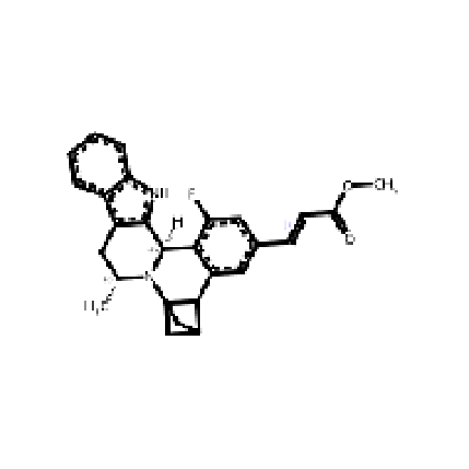 COC(=O)/C=C/c1cc(F)c2c(c1)C1C3CC1(C3)N1[C@H]2c2[nH]c3ccccc3c2C[C@H]1C